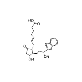 O=C(O)CCCC=CC[C@H]1C(=O)C[C@@H](O)[C@@H]1CC[C@@H](O)c1cc2ccccc2s1